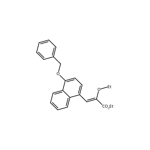 CCOC(=O)/C(=C/c1ccc(OCc2ccccc2)c2ccccc12)OCC